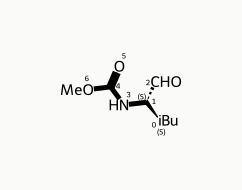 CC[C@H](C)[C@@H](C=O)NC(=O)OC